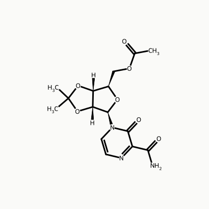 CC(=O)OC[C@H]1O[C@@H](n2ccnc(C(N)=O)c2=O)[C@@H]2OC(C)(C)O[C@@H]21